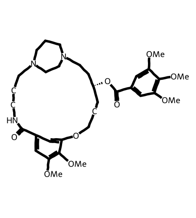 COc1cc(C(=O)O[C@@H]2CCCOc3cc(cc(OC)c3OC)C(=O)NCCCN3CCCN(CC2)CC3)cc(OC)c1OC